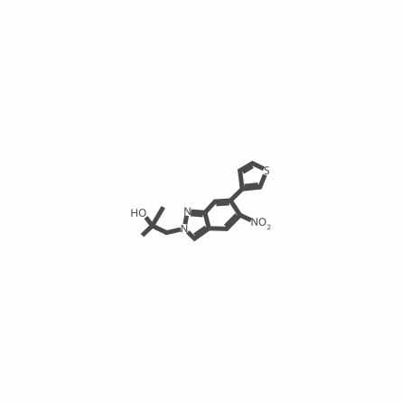 CC(C)(O)Cn1cc2cc([N+](=O)[O-])c(-c3ccsc3)cc2n1